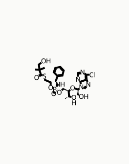 C[C@@H](O)[C@@H](COP(=O)(NCc1ccccc1)OCCSC(=O)C(C)(C)CO)O[C@H](CO)n1cnc2c(Cl)ncnc21